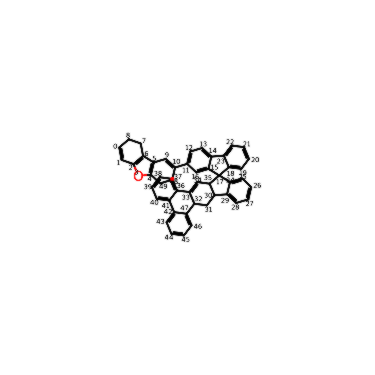 C1=Cc2oc3c(c2CC1)C=C(c1ccc2c(c1)C1(c4ccccc4-2)c2ccccc2C2CC4C(=CC21)c1ccccc1-c1ccccc14)CC3